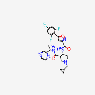 C[C@@H](NC(=O)[C@@H]1CN(CC2CC2)CC[C@H]1NC(=O)c1cc(-c2c(F)cc(F)cc2F)on1)c1cnccn1